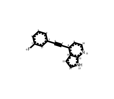 Fc1cccc(C#Cc2ccnc3[nH]ccc23)c1